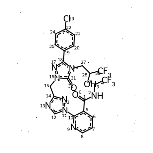 O=C(NCC(F)(F)F)c1cccnc1-n1cnc(Cn2nc(-c3ccc(Cl)cc3)n(CC(O)C(F)(F)F)c2=O)n1